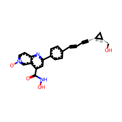 O=C(NO)c1cc(-c2ccc(C#CC#C[C@@H]3C[C@@H]3CO)cc2)nc2cc[n+]([O-])cc12